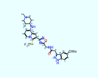 COc1ccc2[nH]nc(CC(=O)NCc3nc(-c4cc5c(N[C@@H]6CCN(C)C[C@@H]6F)cccn5c4SC(F)(F)F)no3)c2c1